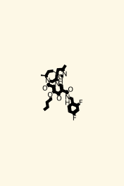 CCCCOc1c2n(cc(C(=O)NCc3ccc(F)cc3F)c1=O)[C@@H]1CN(C2=O)[C@@H](C)CC[C@@]12CC(C)=NO2